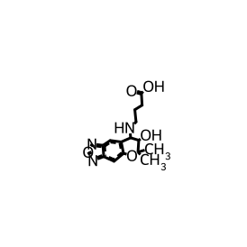 CC1(C)Oc2cc3nonc3cc2C(NCCCC(=O)O)C1O